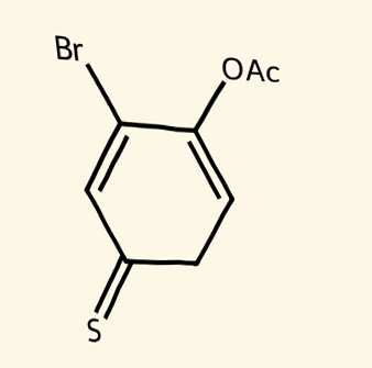 CC(=O)OC1=CCC(=S)C=C1Br